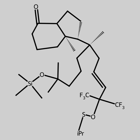 CC(C)SOC(/C=C/C[C@@](C)(CCCC(C)(C)O[Si](C)(C)C)[C@H]1CCC2C(=O)CCC[C@@]21C)(C(F)(F)F)C(F)(F)F